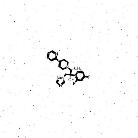 C[C@@H](N1CC=C(c2ccccn2)CC1)[C@](O)(Cn1cncn1)c1ccc(F)cc1F